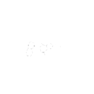 Cc1cc2c(=O)oc(-c3cccc4ccccc34)nc2s1